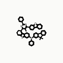 Cc1c(C2=c3c(sc4cc(N(c5ccccc5)c5ccc6c(c5)C(C)(C)c5ccccc5-6)ccc34)=CCC2)nc(-c2ccccc2)nc1-c1ccc2c(c1)oc1ccccc12